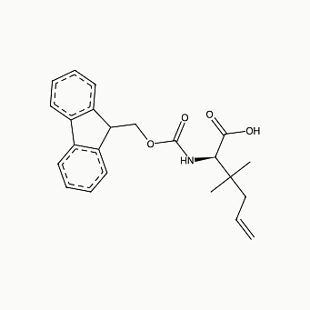 C=CCC(C)(C)[C@@H](NC(=O)OCC1c2ccccc2-c2ccccc21)C(=O)O